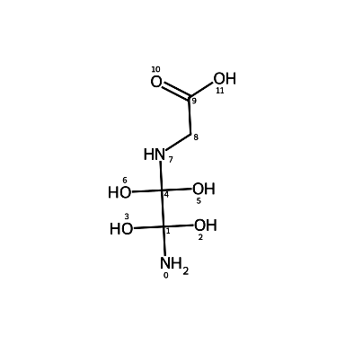 NC(O)(O)C(O)(O)NCC(=O)O